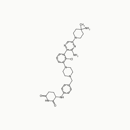 CC1(N)CCN(c2cnc(-c3cccc(N4CCN(Cc5ccc(NC6CCC(=O)NC6=O)cc5)CC4)c3Cl)c(N)n2)CC1